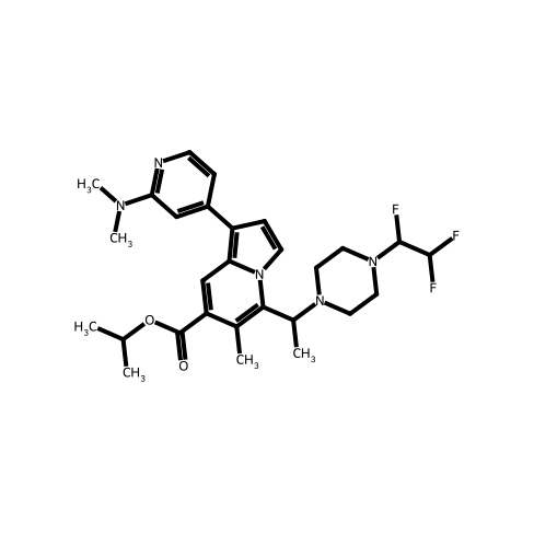 Cc1c(C(=O)OC(C)C)cc2c(-c3ccnc(N(C)C)c3)ccn2c1C(C)N1CCN(C(F)C(F)F)CC1